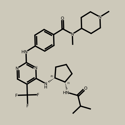 CC(C)C(=O)N[C@H]1CCC[C@H]1Nc1nc(Nc2ccc(C(=O)N(C)C3CCN(C)CC3)cc2)ncc1C(F)(F)F